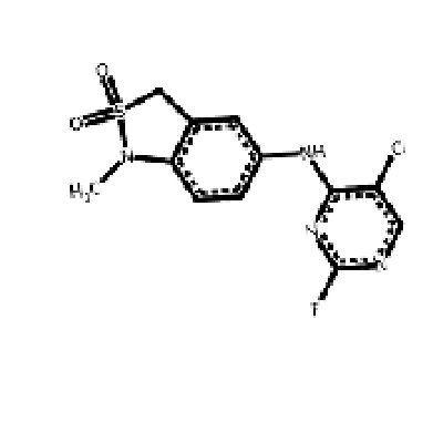 CN1c2ccc(Nc3nc(F)ncc3Cl)cc2CS1(=O)=O